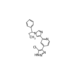 CCC(c1ccccc1)n1cnc(-c2cc(-c3nn[nH]c3Cl)ccn2)c1